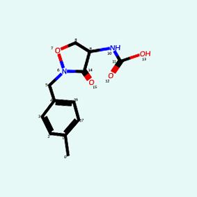 Cc1ccc(CN2OCC(NC(=O)O)C2=O)cc1